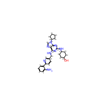 Nc1ccccc1-c1ccc(CNc2nc(NC3CCC(O)CC3)nc3c2ncn3C2CCCC2)cn1